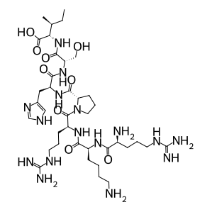 CC[C@H](C)[C@H](NC(=O)[C@H](CO)NC(=O)[C@H](Cc1c[nH]cn1)NC(=O)[C@@H]1CCCN1C(=O)[C@H](CCCNC(=N)N)NC(=O)[C@H](CCCCN)NC(=O)[C@@H](N)CCCNC(=N)N)C(=O)O